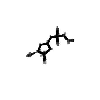 O=COS(=O)(=O)CN1C[C@@H](O)[C@H](F)C1